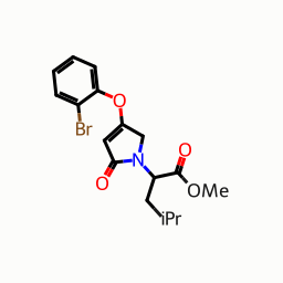 COC(=O)C(CC(C)C)N1CC(Oc2ccccc2Br)=CC1=O